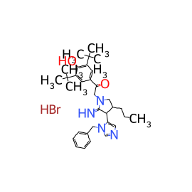 Br.CCCC1CN(CC(=O)c2cc(C(C)(C)C)c(O)c(C(C)(C)C)c2)C(=N)C1c1cncn1Cc1ccccc1